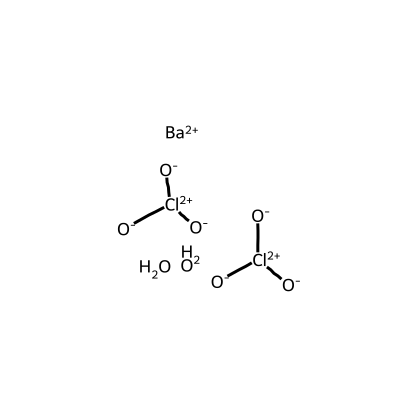 O.O.[Ba+2].[O-][Cl+2]([O-])[O-].[O-][Cl+2]([O-])[O-]